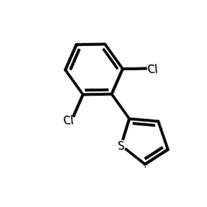 Clc1cccc(Cl)c1-c1cc[c]s1